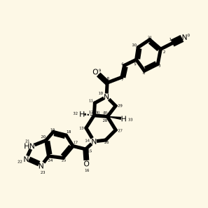 N#Cc1ccc(C=CC(=O)N2C[C@@H]3CN(C(=O)c4ccc5[nH]nnc5c4)CC[C@H]3C2)cc1